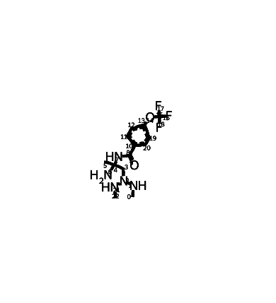 CNN(CC(C)(N)NC(=O)c1ccc(OC(F)(F)F)cc1)NC